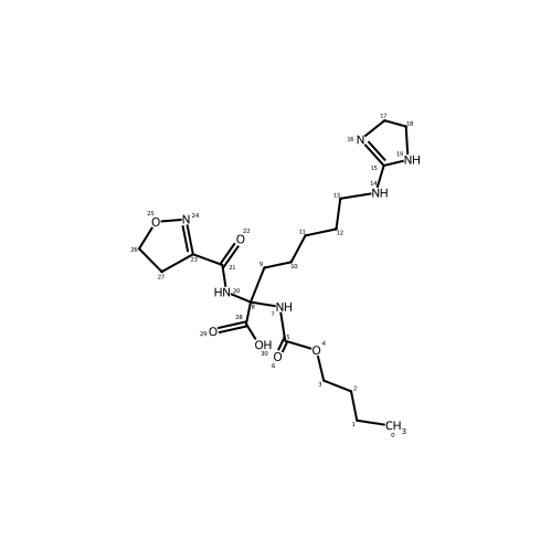 CCCCOC(=O)NC(CCCCCNC1=NCCN1)(NC(=O)C1=NOCC1)C(=O)O